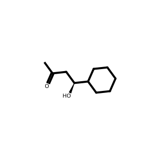 CC(=O)C[C@H](O)C1CCCCC1